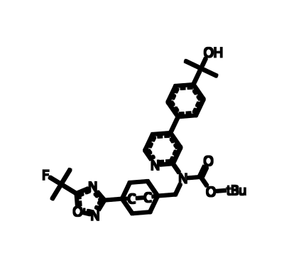 CC(C)(C)OC(=O)N(CC12CCC(c3noc(C(C)(C)F)n3)(CC1)CC2)c1cc(-c2ccc(C(C)(C)O)cc2)ccn1